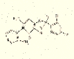 [2H]C([2H])(Oc1cc(C)n(-c2ccncc2C)c(=O)c1Br)c1ncc(F)cc1Cl